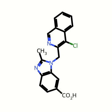 Cc1nc2ccc(C(=O)O)cc2n1Cc1ncc2ccccc2c1Cl